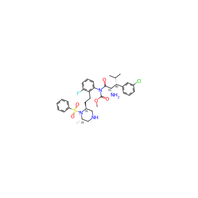 COC(=O)N(C(=O)[C@@H](N)[C@@H](c1cccc(Cl)c1)C(C)C)c1cccc(F)c1CC[C@H]1CNC[C@H](C)N1S(=O)(=O)c1ccccc1